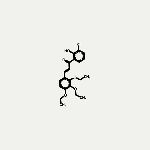 CCOc1ccc(C=CC(=O)c2cccc(Cl)c2O)c(OCC)c1OCC